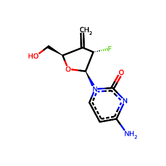 C=C1[C@H](CO)O[C@H](n2ccc(N)nc2=O)[C@H]1F